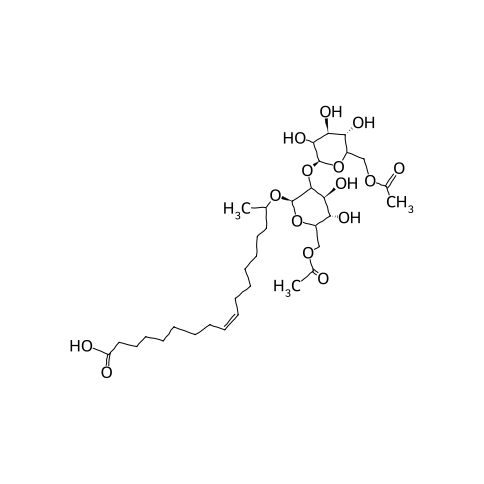 CC(=O)OCC1O[C@@H](OC2[C@H](OC(C)CCCCCC/C=C\CCCCCCCC(=O)O)OC(COC(C)=O)[C@@H](O)[C@@H]2O)C(O)[C@@H](O)[C@@H]1O